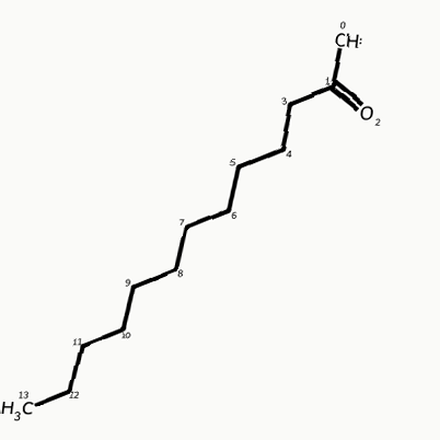 [CH]C(=O)CCCCCCCCCCC